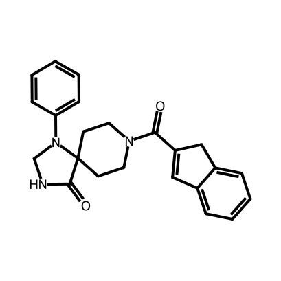 O=C(C1=Cc2ccccc2C1)N1CCC2(CC1)C(=O)NCN2c1ccccc1